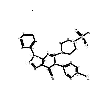 CS(=O)(=O)N1CCN(c2nc3c(cnn3-c3ccccc3)c(=O)n2-c2ccc(Cl)cc2)CC1